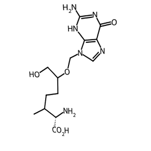 CC(CCC(CO)OCn1cnc2c(=O)nc(N)[nH]c21)[C@H](N)C(=O)O